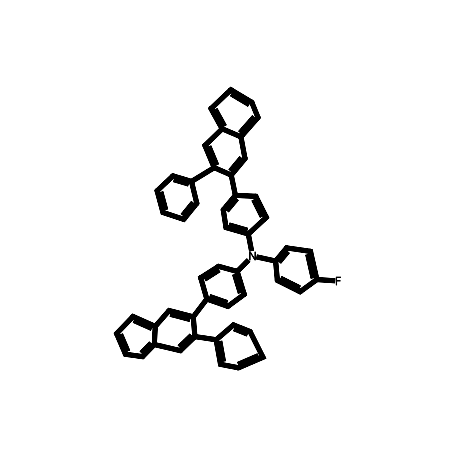 Fc1ccc(N(c2ccc(-c3cc4ccccc4cc3-c3ccccc3)cc2)c2ccc(-c3cc4ccccc4cc3-c3ccccc3)cc2)cc1